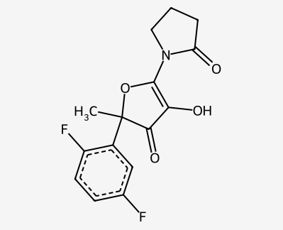 CC1(c2cc(F)ccc2F)OC(N2CCCC2=O)=C(O)C1=O